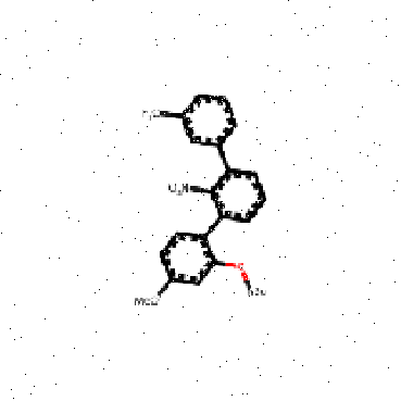 CCCCOc1cc(OC)ccc1-c1cccc(-c2cccc(C(F)(F)F)c2)c1[N+](=O)[O-]